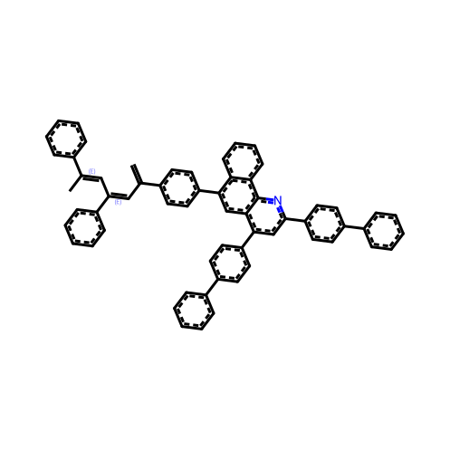 C=C(/C=C(\C=C(/C)c1ccccc1)c1ccccc1)c1ccc(-c2cc3c(-c4ccc(-c5ccccc5)cc4)cc(-c4ccc(-c5ccccc5)cc4)nc3c3ccccc23)cc1